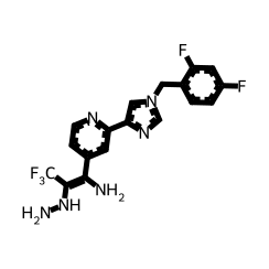 NN/C(=C(\N)c1ccnc(-c2cn(Cc3ccc(F)cc3F)cn2)c1)C(F)(F)F